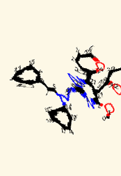 COc1nc(N(CCc2ccccc2)c2ccccc2)nc(C2CCCO2)c1C1CCCO1